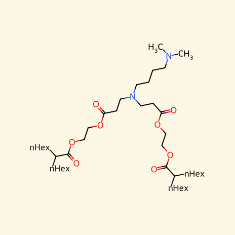 CCCCCCC(CCCCCC)C(=O)OCCOC(=O)CCN(CCCCN(C)C)CCC(=O)OCCOC(=O)C(CCCCCC)CCCCCC